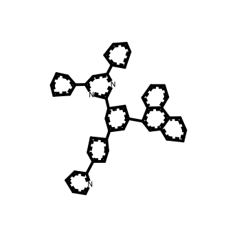 c1ccc(-c2cc(-c3ccccc3)nc(-c3cc(-c4ccc(-c5ccccn5)cc4)cc(-c4cc5ccccc5c5ccccc45)c3)n2)cc1